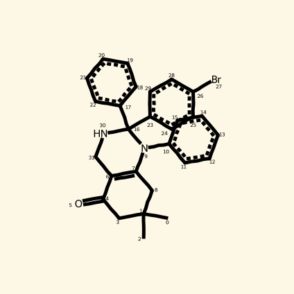 CC1(C)CC(=O)C2=C(C1)N(c1ccccc1)C(c1ccccc1)(c1ccc(Br)cc1)NC2